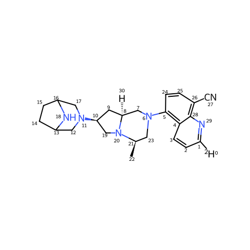 [2H]c1ccc2c(N3C[C@@H]4C[C@H](N5CC6CCC(C5)N6)CN4[C@H](C)C3)ccc(C#N)c2n1